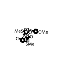 COc1ccc(COC(=O)C2=C(C(OC(C)=O)SC)CS[C@@H]3[C@@H](N=C(SC)c4ccc(Cl)cc4)C(=O)N23)cc1